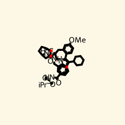 COc1ccc2c(c1)CC(C)(C(=O)N1C3CCC1CC(NCc1ccccc1)C3)Cn1c-2c(C2CCCCC2)c2ccc(C(=O)NS(=O)(=O)C(C)C)cc21